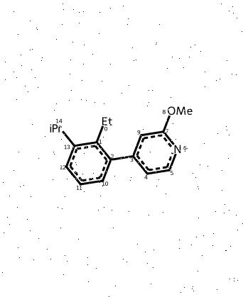 CCc1c(-c2ccnc(OC)c2)cccc1C(C)C